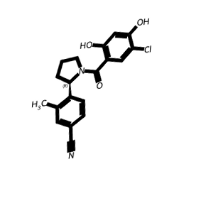 Cc1cc(C#N)ccc1[C@H]1CCCN1C(=O)c1cc(Cl)c(O)cc1O